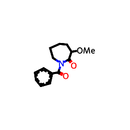 COC1CCCCN(C(=O)c2ccccc2)C1=O